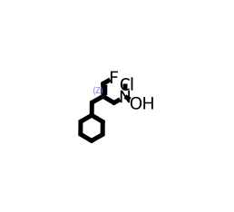 ON(Cl)C/C(=C\F)CC1CCCCC1